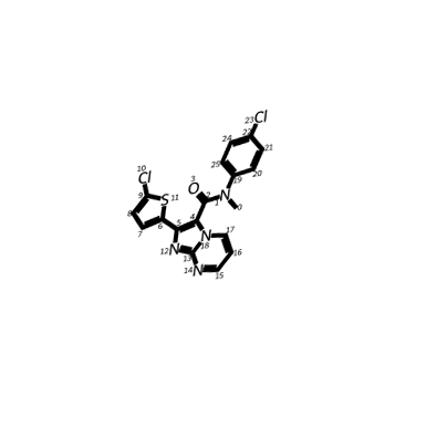 CN(C(=O)c1c(-c2ccc(Cl)s2)nc2ncccn12)c1ccc(Cl)cc1